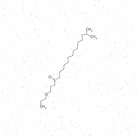 CCCOCCC[S+]([O-])CCCCCCCCCCCCC(C)C